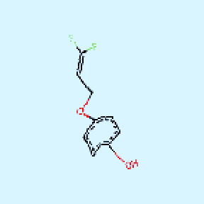 Oc1ccc(OCC=C(F)F)cc1